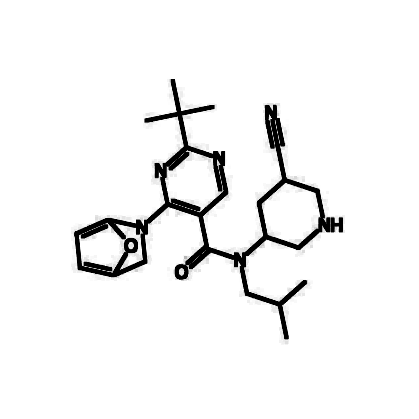 CC(C)CN(C(=O)c1cnc(C(C)(C)C)nc1N1Cc2ccc1o2)C1CNCC(C#N)C1